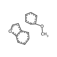 COc1ccccc1.c1ccc2occc2c1